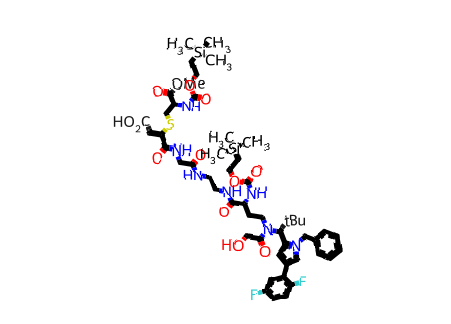 COC(=O)C(CSC(CC(=O)O)C(=O)NCC(=O)NCCNC(=O)C(CCN(C(=O)CO)C(c1cc(-c2cc(F)ccc2F)cn1Cc1ccccc1)C(C)(C)C)NC(=O)OCC[Si](C)(C)C)NC(=O)OCC[Si](C)(C)C